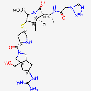 C[C@@H](NC(=O)Cn1cnnn1)[C@H]1C(=O)N2C(C(=O)O)=C(S[C@@H]3CN[C@H](C(=O)N4CC5C[C@@H](NC(=N)N)C[C@]5(CO)C4)C3)[C@H](C)[C@H]12